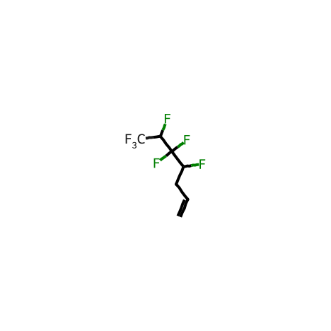 C=CCC(F)C(F)(F)C(F)C(F)(F)F